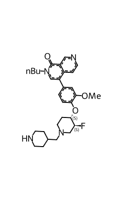 CCCCn1cc(-c2ccc(O[C@H]3CCN(CC4CCNCC4)C[C@@H]3F)c(OC)c2)c2ccncc2c1=O